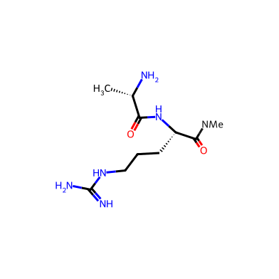 CNC(=O)[C@H](CCCNC(=N)N)NC(=O)[C@H](C)N